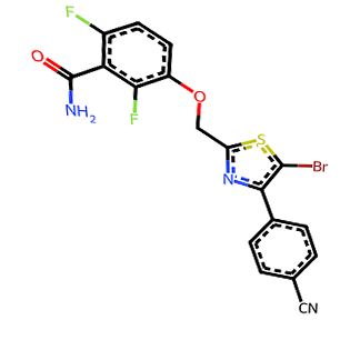 N#Cc1ccc(-c2nc(COc3ccc(F)c(C(N)=O)c3F)sc2Br)cc1